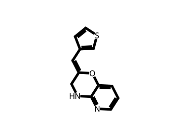 C(=C1\CNc2ncccc2O1)/c1ccsc1